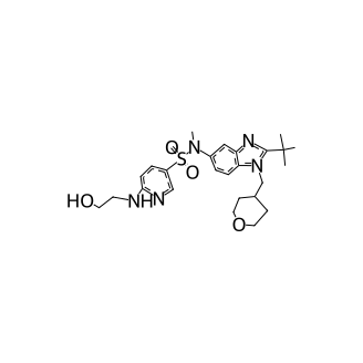 CN(c1ccc2c(c1)nc(C(C)(C)C)n2CC1CCOCC1)S(=O)(=O)c1ccc(NCCO)nc1